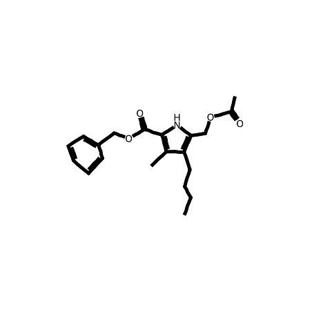 CCCCc1c(COC(C)=O)[nH]c(C(=O)OCc2ccccc2)c1C